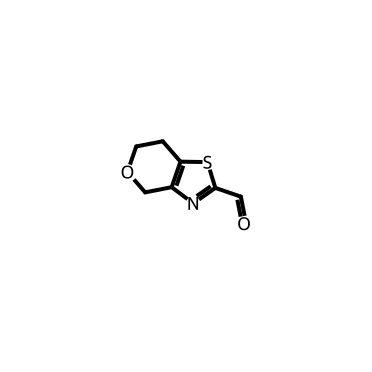 O=Cc1nc2c(s1)CCOC2